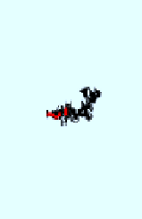 COc1cc(C(=O)N2C[C@H]3C[C@H](OCCC#N)[C@@H]2[C@@H]3NC(=O)OC(C)(C)C)cc2nc(-c3cc4cccnc4n3CC3CC3)n(C)c12